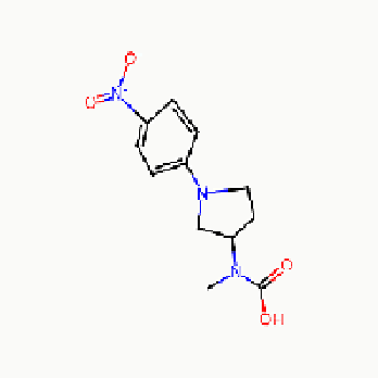 CN(C(=O)O)C1CCN(c2ccc([N+](=O)[O-])cc2)C1